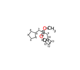 CO[Si](CC1CCCC1)(CC1CCC1)OC